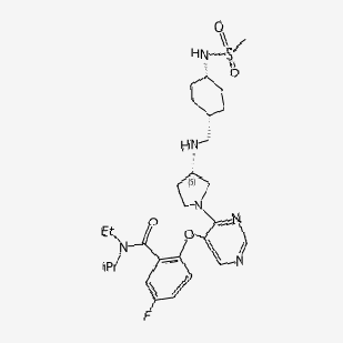 CCN(C(=O)c1cc(F)ccc1Oc1cncnc1N1CC[C@H](NC[C@H]2CC[C@@H](NS(C)(=O)=O)CC2)C1)C(C)C